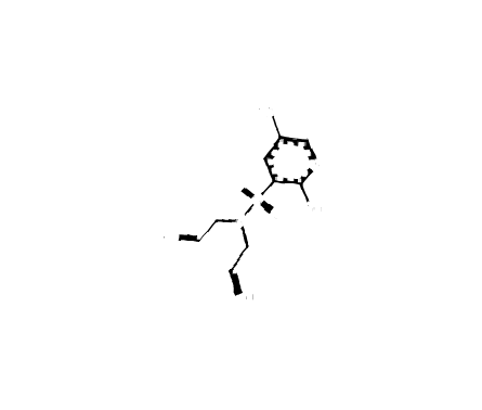 C=CCN(CC=C)S(=O)(=O)c1cc(N)cnc1[N+](=O)[O-]